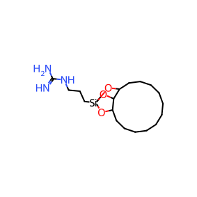 N=C(N)NCCC[Si]12OC3CCCCCCCCCCCC(O1)C3O2